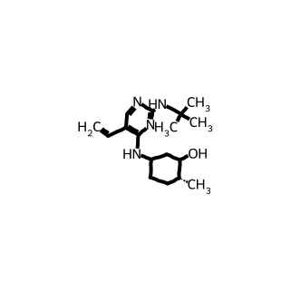 C=Cc1cnc(NC(C)(C)C)nc1NC1CC[C@@H](C)C(O)C1